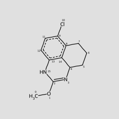 COC1=NC2CCCc3c(Cl)ccc(c32)N1